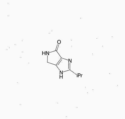 CC(C)c1nc2c([nH]1)CNC2=O